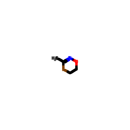 CC1=NOCCS1